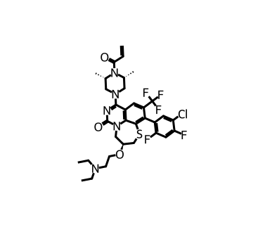 C=CC(=O)N1[C@H](C)CN(c2nc(=O)n3c4c(c(-c5cc(Cl)c(F)cc5F)c(C(F)(F)F)cc24)SC[C@@H](OCCN(CC)CC)C3)C[C@@H]1C